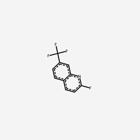 Fc1ccc2ccc(C(F)(F)F)cc2n1